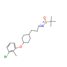 Cc1c(Br)cccc1OC1CCC(CC/C=N/[S@@+]([O-])C(C)(C)C)CC1